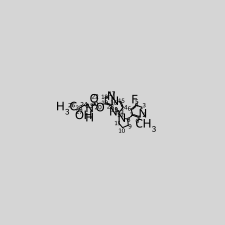 Cc1ncc(F)cc1[C@H]1CCCN1c1ccn2ncc(OC(=O)NC[C@@H](C)O)c2n1